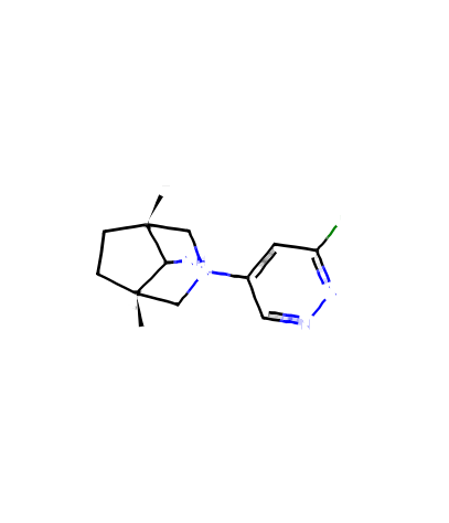 NC1[C@@H]2CC[C@H]1CN(c1cnnc(Cl)c1)C2